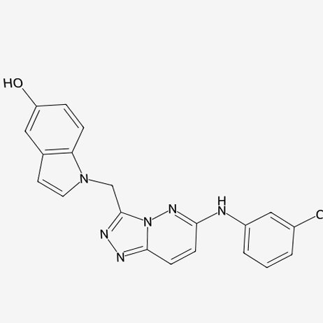 Oc1ccc2c(ccn2Cc2nnc3ccc(Nc4cccc(Cl)c4)nn23)c1